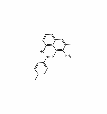 Cc1ccc(N=Nc2c(N)c(C)cc3cccc(O)c23)cc1